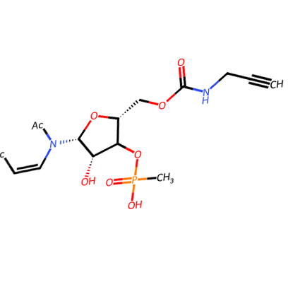 C#CCNC(=O)OC[C@H]1O[C@@H](N(/C=C\C(C)=O)C(C)=O)[C@@H](O)C1OP(C)(=O)O